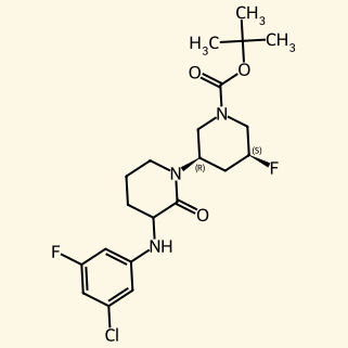 CC(C)(C)OC(=O)N1C[C@@H](F)C[C@@H](N2CCCC(Nc3cc(F)cc(Cl)c3)C2=O)C1